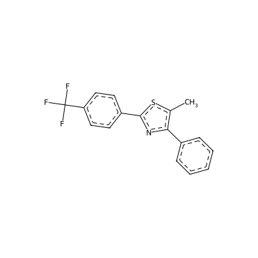 Cc1sc(-c2ccc(C(F)(F)F)cc2)nc1-c1ccccc1